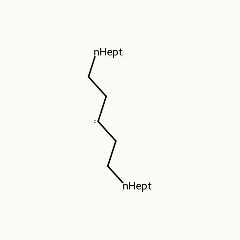 CCCCCCCCC[C]CCCCCCCCC